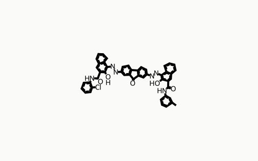 Cc1cccc(NC(=O)c2cc3ccccc3c(/N=N/c3ccc4c(c3)C(=O)c3cc(/N=N/c5c(O)c(C(=O)Nc6ccccc6Cl)cc6ccccc56)ccc3-4)c2O)c1